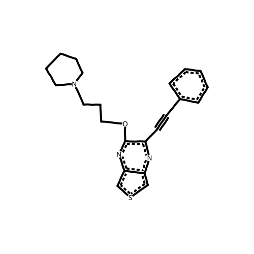 C(#Cc1nc2cscc2nc1OCCCN1CCCCC1)c1ccccc1